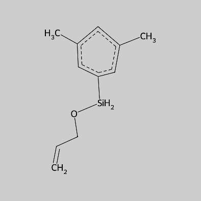 C=CCO[SiH2]c1cc(C)cc(C)c1